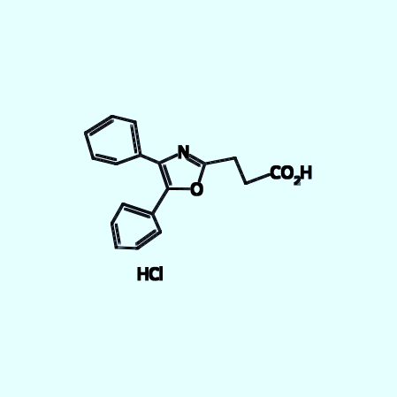 Cl.O=C(O)CCc1nc(-c2ccccc2)c(-c2ccccc2)o1